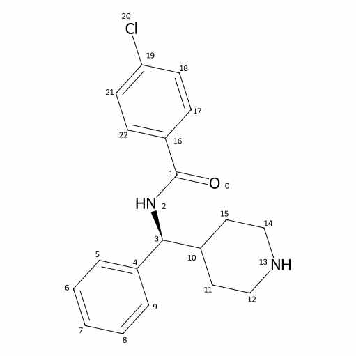 O=C(N[C@H](c1ccccc1)C1CCNCC1)c1ccc(Cl)cc1